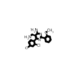 COc1ccccc1-c1nc(N)c(CN)c(-c2ccc(Cl)cc2Cl)n1